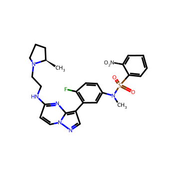 C[C@@H]1CCCN1CCNc1ccn2ncc(-c3cc(N(C)S(=O)(=O)c4ccccc4[N+](=O)[O-])ccc3F)c2n1